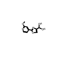 COc1cc(-c2nc(C(O)O)co2)ccn1